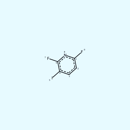 Fc1c[c]c(I)c(F)n1